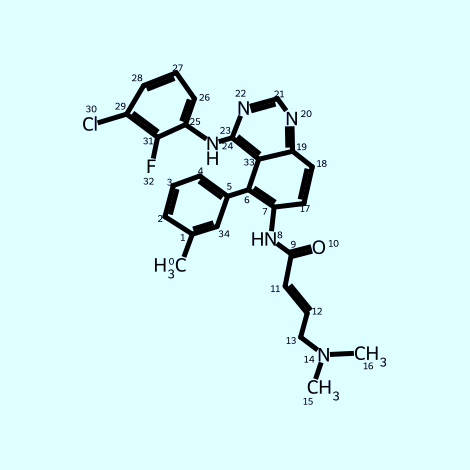 Cc1cccc(-c2c(NC(=O)/C=C/CN(C)C)ccc3ncnc(Nc4cccc(Cl)c4F)c23)c1